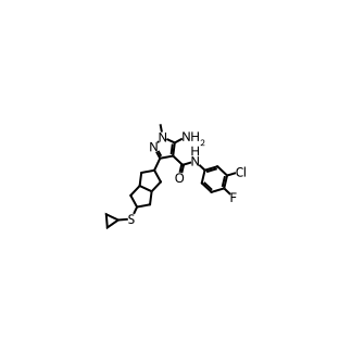 Cn1nc(C2CC3CC(SC4CC4)CC3C2)c(C(=O)Nc2ccc(F)c(Cl)c2)c1N